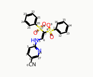 N#Cc1ccc(NC=C(S(=O)(=O)c2ccccc2)S(=O)(=O)c2ccccc2)nc1